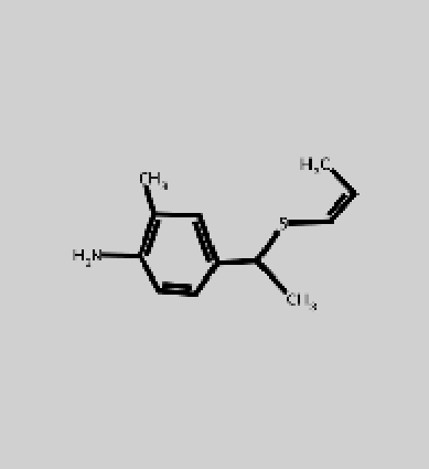 C/C=C\SC(C)c1ccc(N)c(C)c1